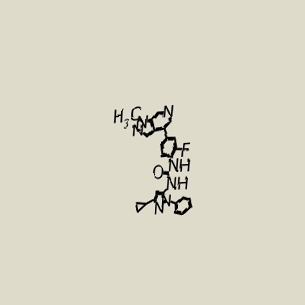 Cn1ncc2c(-c3ccc(NC(=O)Nc4cc(C5CC5)nn4-c4ccccc4)c(F)c3)cncc21